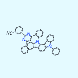 N#Cc1cccc(-c2nc(-c3ccccc3)cc(-c3ccccc3-n3c4ccccc4c4ccc5c(c6ccccc6n5-c5ccccc5)c43)n2)c1